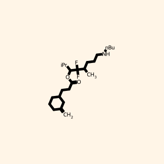 C=C1CCCC(CCC(=O)OC(C(C)C)C(F)(F)C(C)CCCNCCCC)C1